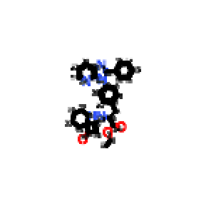 CCOC(=O)[C@H](Cc1ccc(-n2c(-c3ccccc3)nc3cccnc32)cc1)NC1=CC(=O)C12CCCCC2